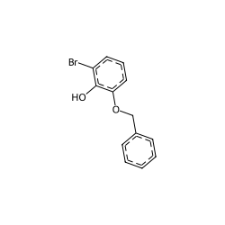 Oc1c(Br)cccc1OCc1ccccc1